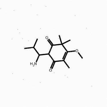 COC1=C(C)C(=O)C(C(N)C(C)C)C(=O)C1(C)C